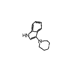 c1ccc2c(N3CCCCC3)c[nH]c2c1